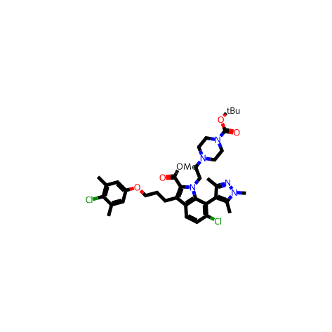 COC(=O)c1c(CCCOc2cc(C)c(Cl)c(C)c2)c2ccc(Cl)c(-c3c(C)nn(C)c3C)c2n1CCN1CCN(C(=O)OC(C)(C)C)CC1